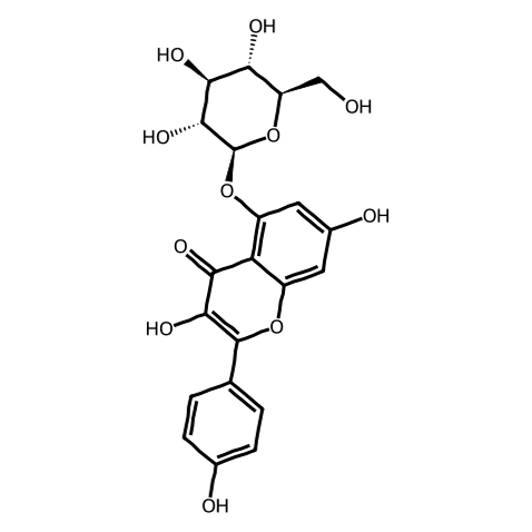 O=c1c(O)c(-c2ccc(O)cc2)oc2cc(O)cc(O[C@@H]3O[C@H](CO)[C@@H](O)[C@H](O)[C@H]3O)c12